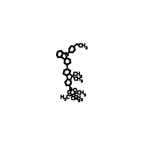 C=Cc1ccc(-n2c3ccccc3c3cc(-c4ccc5c(c4)C(C)(C)c4cc(B6OC(C)(C)C(C)(C)O6)ccc4-5)ccc32)cc1